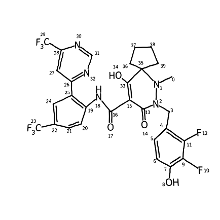 CN1N(Cc2ccc(O)c(F)c2F)C(=O)C(C(=O)Nc2ccc(C(F)(F)F)cc2-c2cc(C(F)(F)F)ncn2)=C(O)C12CCCC2